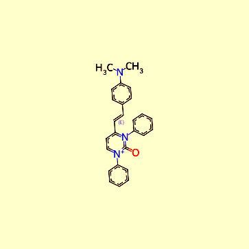 CN(C)c1ccc(/C=C/c2cc[n+](-c3ccccc3)c(=O)n2-c2ccccc2)cc1